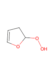 OOC1CC=CO1